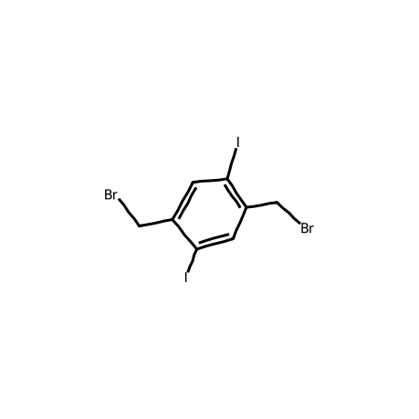 BrCc1cc(I)c(CBr)cc1I